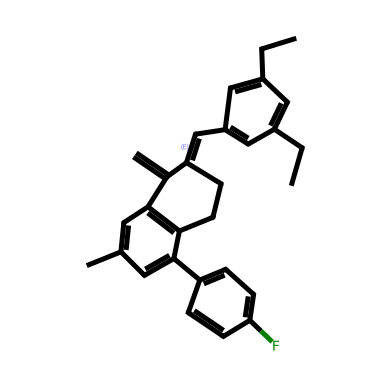 C=C1/C(=C/c2cc(CC)cc(CC)c2)CCc2c1cc(C)cc2-c1ccc(F)cc1